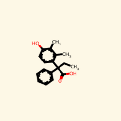 CCC(C(=O)O)(c1ccccc1)c1ccc(O)c(C)c1C